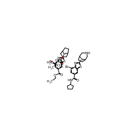 CCOC(=O)c1cc(Br)c2nc(N3C4CCC3CN(C(=O)OC(C)(C)C)C4)sc2c1.O=C(NC1CCCC1)c1cc(Br)c2nc(N3C4CCC3CNC4)sc2c1